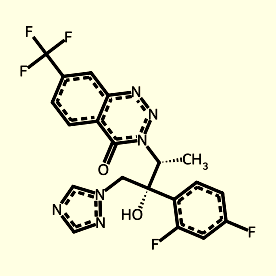 C[C@@H](n1nnc2cc(C(F)(F)F)ccc2c1=O)[C@](O)(Cn1cncn1)c1ccc(F)cc1F